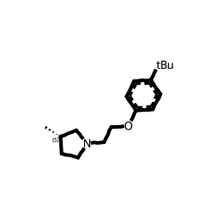 C[C@H]1CCN(CCOc2ccc(C(C)(C)C)cc2)C1